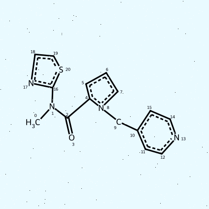 CN(C(=O)c1cccn1Cc1ccncc1)c1nccs1